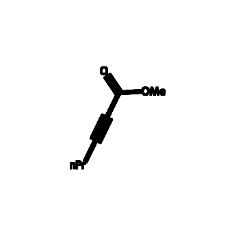 CCCC#CC(=O)OC